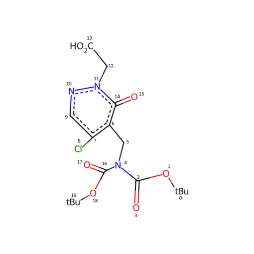 CC(C)(C)OC(=O)N(Cc1c(Cl)cnn(CC(=O)O)c1=O)C(=O)OC(C)(C)C